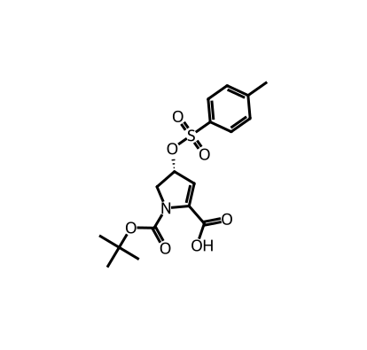 Cc1ccc(S(=O)(=O)O[C@@H]2C=C(C(=O)O)N(C(=O)OC(C)(C)C)C2)cc1